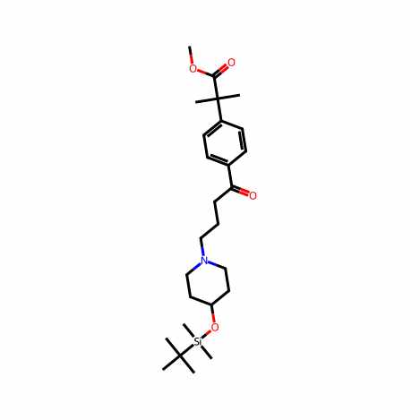 COC(=O)C(C)(C)c1ccc(C(=O)CCCN2CCC(O[Si](C)(C)C(C)(C)C)CC2)cc1